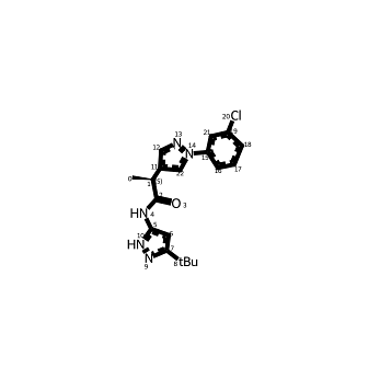 C[C@H](C(=O)Nc1cc(C(C)(C)C)n[nH]1)c1cnn(-c2cccc(Cl)c2)c1